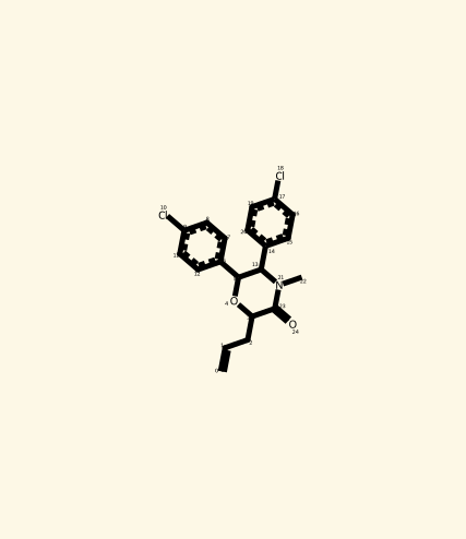 C=CCC1OC(c2ccc(Cl)cc2)C(c2ccc(Cl)cc2)N(C)C1=O